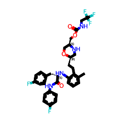 Cc1cccc(N[C@@H](Cc2ccc(F)cc2)C(=O)Nc2ccc(F)cc2)c1CC[C@@H]1CN[C@H](COC(=O)NCC(F)(F)F)CO1